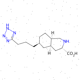 O=C(O)[C@@H]1C[C@H]2C[C@@H](CCCc3nn[nH]n3)CC[C@H]2CN1